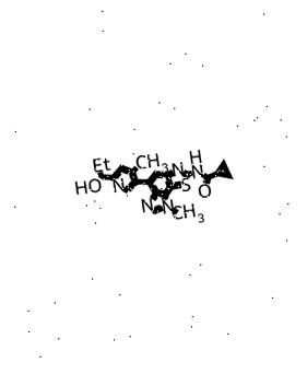 CCC(O)c1cc(C)c(-c2cc3nc(NC(=O)C4CC4)sc3c3c2ncn3C)cn1